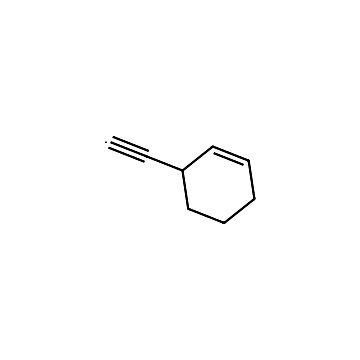 [C]#CC1C=CCCC1